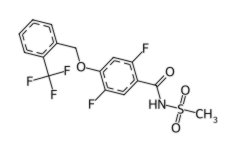 CS(=O)(=O)NC(=O)c1cc(F)c(OCc2ccccc2C(F)(F)F)cc1F